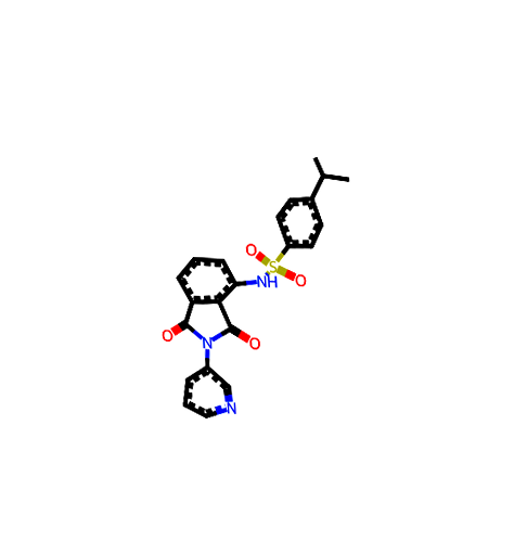 CC(C)c1ccc(S(=O)(=O)Nc2cccc3c2C(=O)N(c2cccnc2)C3=O)cc1